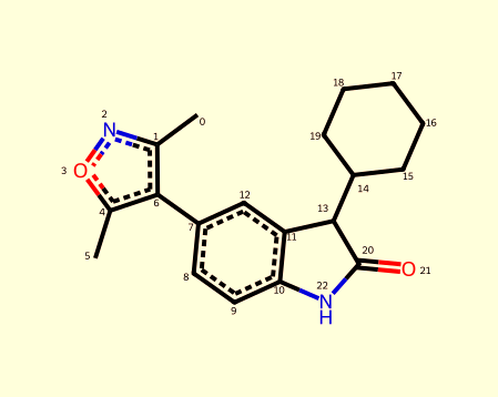 Cc1noc(C)c1-c1ccc2c(c1)C(C1CCCCC1)C(=O)N2